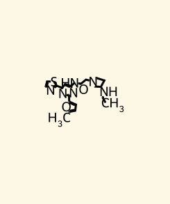 CCN[C@H]1CCN(CC(=O)Nc2cc(-c3nccs3)nc(-c3ccc(C)o3)n2)C1